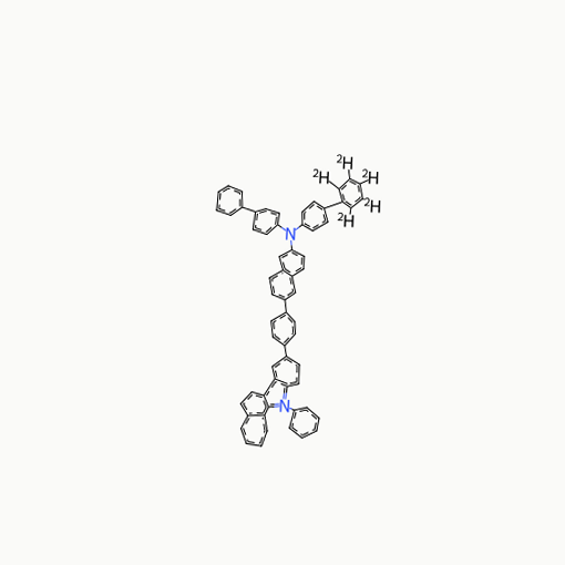 [2H]c1c([2H])c([2H])c(-c2ccc(N(c3ccc(-c4ccccc4)cc3)c3ccc4cc(-c5ccc(-c6ccc7c(c6)c6ccc8ccccc8c6n7-c6ccccc6)cc5)ccc4c3)cc2)c([2H])c1[2H]